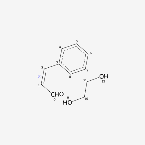 O=C/C=C\c1ccccc1.OCCO